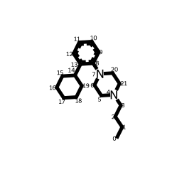 CCCCN1CCN(c2ccccc2C2CCCCC2)CC1